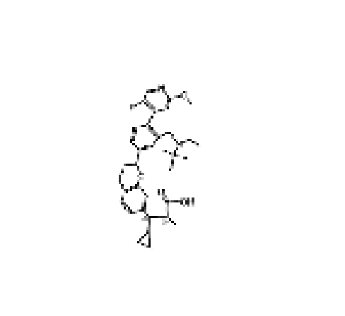 CCN(Cc1cc(C2CCc3ccc([C@H](C4CC4)[C@H](C)C(=O)O)cc3O2)ccc1-c1cc(OC)ncc1F)C(C)(C)C